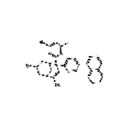 CC1=CC2(c3ccc(-c4cccc5ccccc45)cc3-c3c(Cl)cc(Cl)cc32)C2CC(C)CC1C2